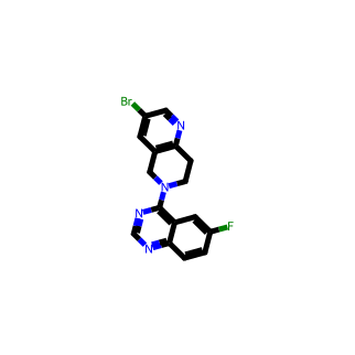 Fc1ccc2ncnc(N3CCc4ncc(Br)cc4C3)c2c1